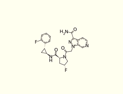 NC(=O)c1nn(CC(=O)N2C[C@H](F)C[C@H]2C(=O)N[C@H]2C[C@@H]2c2ccccc2F)c2cnccc12